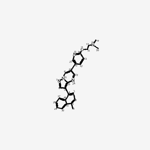 Cc1ccc(-c2cnn3cc(-c4ccc(OCCN(C)C)nc4)cnc23)c2ccccc12